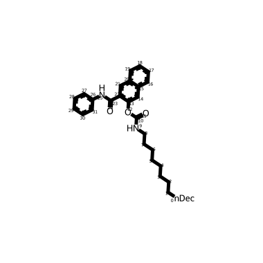 CCCCCCCCCCCCCCCCCCNC(=O)Oc1cc2ccccc2cc1C(=O)Nc1ccccc1